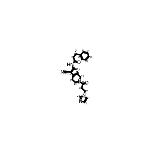 C[C@@H](CC(=O)Nc1sc2c(c1C#N)CCN(C(=O)CCn1ccnc1)C2)c1ccccc1